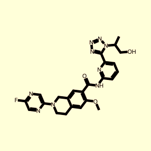 COc1cc2c(cc1C(=O)Nc1cccc(-c3nnnn3C(C)CO)n1)CN(c1cnc(F)cn1)CC2